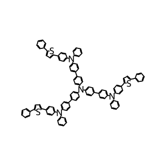 c1ccc(-c2ccc(-c3ccc(N(c4ccccc4)c4ccc(-c5ccc(N(c6ccc(-c7ccc(N(c8ccccc8)c8ccc(-c9ccc(-c%10ccccc%10)s9)cc8)cc7)cc6)c6ccc(-c7ccc(N(c8ccccc8)c8ccc(-c9ccc(-c%10ccccc%10)s9)cc8)cc7)cc6)cc5)cc4)cc3)s2)cc1